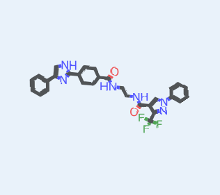 O=C(NCCNC(=O)C1CCC(c2nc(-c3ccccc3)c[nH]2)CC1)c1cn(-c2ccccc2)nc1C(F)(F)F